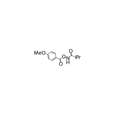 COc1ccc(C(=O)ONC(=O)C(C)C)cc1